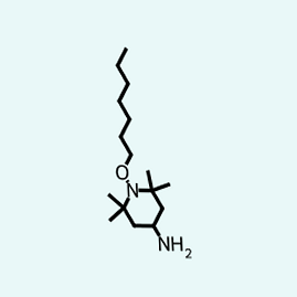 CCCCCCCON1C(C)(C)CC(N)CC1(C)C